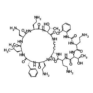 CC(C)C[C@@H]1NC(=O)[C@@H](Cc2ccccc2)NC(=O)[C@H](CCN)NC(=O)[C@@H](NC(=O)C(CCN)NC(=O)[C@@H](NC(=O)C(CCN)NC(=O)Nc2ccccc2Cl)[C@@H](C)O)CCNC(=O)[C@H]([C@@H](C)O)NC(=O)[C@H](CCN)NC(=O)[C@H](CCN)NC1=O